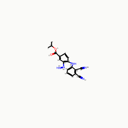 CC(C)OC(=O)c1ccc(Nc2cccc(C#N)c2C#N)c(N=N)c1